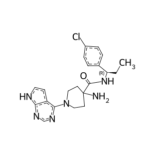 CC[C@@H](NC(=O)C1(N)CCN(c2ncnc3[nH]ccc23)CC1)c1ccc(Cl)cc1